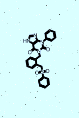 O=c1c2[nH]cnc2n(-c2ccccc2)c(=O)n1Cc1ccccc1CS(=O)(=O)c1ccccc1